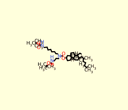 CC(C)CCC[C@@H](C)[C@H]1CC[C@H]2[C@@H]3CC=C4C[C@@H](OC(=O)N(CCCCCCCCNC(=O)OC(C)(C)C)CCCNC(=O)OC(C)(C)C)CC[C@]4(C)[C@H]3CC[C@]12C